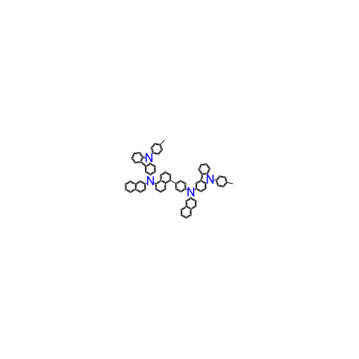 Cc1ccc(-n2c3ccccc3c3cc(N(c4ccc(-c5cccc6c(N(c7ccc8ccccc8c7)c7ccc8c(c7)c7ccccc7n8-c7ccc(C)cc7)cccc56)cc4)c4ccc5ccccc5c4)ccc32)cc1